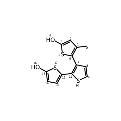 Cc1cc(O)sc1-c1ccsc1-c1ccc(O)s1